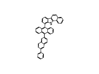 c1ccc(-c2ccc3cc(-c4c5ccccc5c(-c5cccc6c5sc5c7ccccc7ccc65)c5ccccc45)ccc3c2)cc1